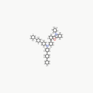 c1ccc(-c2ccc(-c3ccc(N(c4ccc(-c5ccc(-c6ccccc6)cc5)cc4)c4cccc(-c5cccc6c5oc5c7ccccc7n(-c7ccccc7)c65)c4)cc3)cc2)cc1